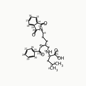 CC(C)CC(NCC(CCCN1C(=O)c2ccccc2C1=O)SC(=O)c1ccccc1)C(=O)O